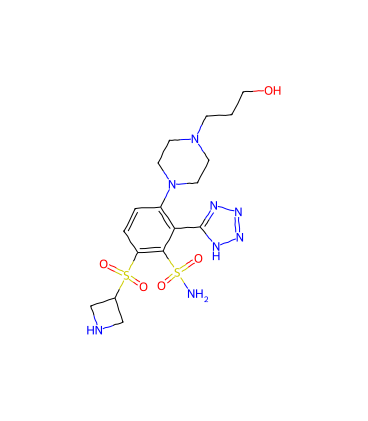 NS(=O)(=O)c1c(S(=O)(=O)C2CNC2)ccc(N2CCN(CCCO)CC2)c1-c1nnn[nH]1